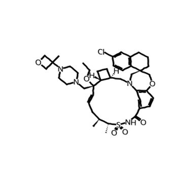 CCO[C@@]1(CN2CCN(C3(C)COC3)CC2)/C=C/C[C@H](C)[C@@H](C)S(=O)(=O)NC(=O)c2ccc3c(c2)N(C[C@@H]2CC[C@H]21)C[C@@]1(CCCc2cc(Cl)ccc21)CO3